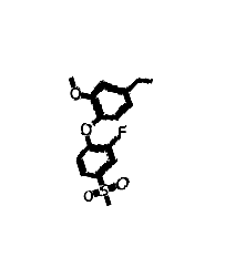 CCc1ccc(Oc2ccc(S(C)(=O)=O)cc2F)c(OC)c1